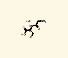 NCC(=O)N[C@@H](CS)C(=O)O.[NaH]